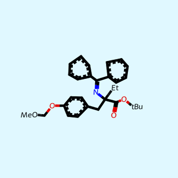 CCC(Cc1ccc(OCOC)cc1)(N=C(c1ccccc1)c1ccccc1)C(=O)OC(C)(C)C